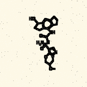 COC1COc2c(S(N)(=O)=NC(=O)Nc3c4c(cc5c3CCC5O)CCC4)cnn2C1